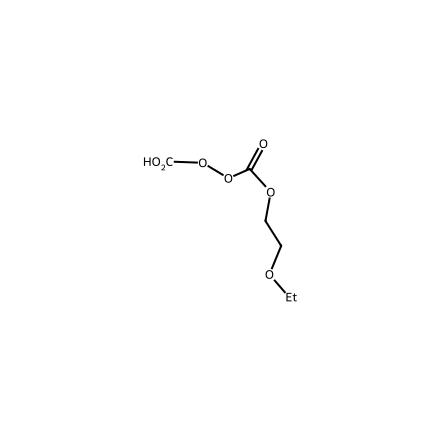 CCOCCOC(=O)OOC(=O)O